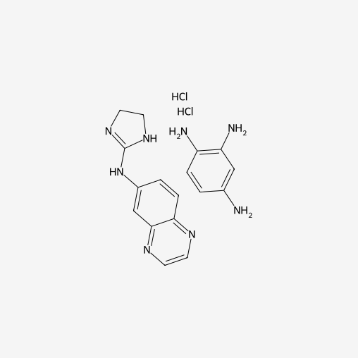 Cl.Cl.Nc1ccc(N)c(N)c1.c1cnc2cc(NC3=NCCN3)ccc2n1